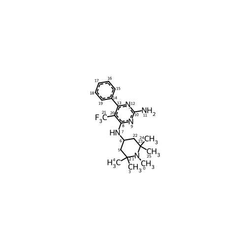 CN1C(C)(C)CC(Nc2nc(N)nc(-c3ccccc3)c2C(F)(F)F)CC1(C)C